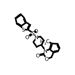 Cc1cccc2c1N(C1CCN(S(=O)(=O)c3cc4ccccc4s3)CC1)C(=O)OC2